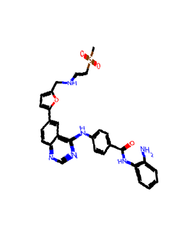 CS(=O)(=O)CCNCc1ccc(-c2ccc3ncnc(Nc4ccc(C(=O)Nc5ccccc5N)cc4)c3c2)o1